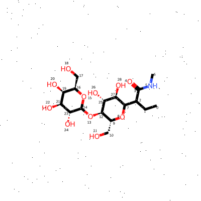 CCC(C(=O)NC)C1O[C@H](CO)[C@@H](OC2O[C@H](CO)[C@H](O)[C@H](O)[C@H]2O)[C@H](O)[C@H]1O